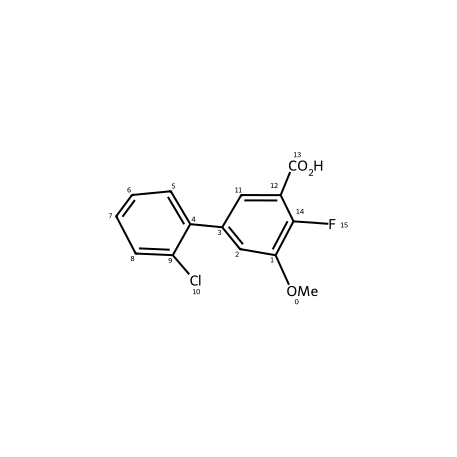 COc1cc(-c2ccccc2Cl)cc(C(=O)O)c1F